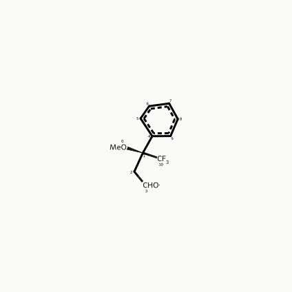 CO[C@@](C[C]=O)(c1ccccc1)C(F)(F)F